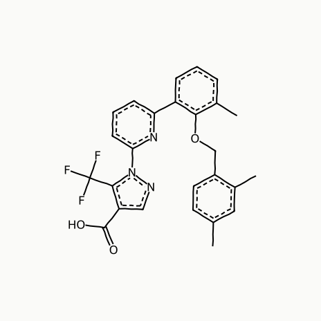 Cc1ccc(COc2c(C)cccc2-c2cccc(-n3ncc(C(=O)O)c3C(F)(F)F)n2)c(C)c1